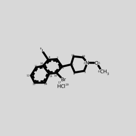 CON1CCC(c2cc(I)c3ccccc3c2Br)CC1.Cl